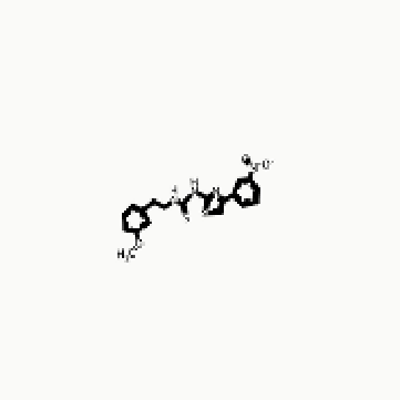 COc1cccc(CCNC(=S)Nc2nc(-c3cccc([N+](=O)[O-])c3)cs2)c1